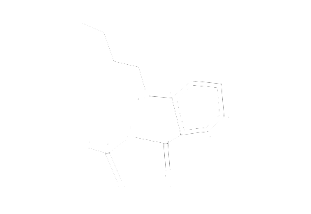 CCCCOc1ccccc1C(=O)OC(C)=O